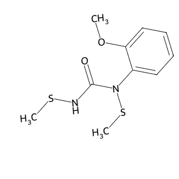 COc1ccccc1N(SC)C(=O)NSC